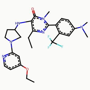 CCOc1ccnc(N2CCC(Nc3c(CC)nc(-c4ccc(N(C)C)cc4C(F)(F)F)n(C)c3=O)C2)c1